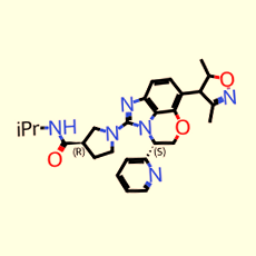 CC1=NOC(C)C1c1ccc2nc(N3CC[C@@H](C(=O)NC(C)C)C3)n3c2c1OC[C@@H]3c1ccccn1